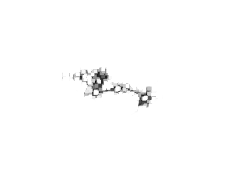 Cc1c(CCCC(=O)O)c2c(F)ccc(C#Cc3ccc(OCCCCc4cc(F)c(F)c(F)c4F)cc3)c2n1CC1(CC(=O)O)CC1